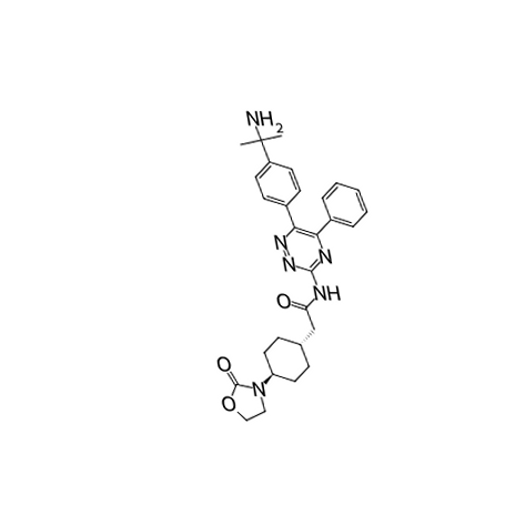 CC(C)(N)c1ccc(-c2nnc(NC(=O)C[C@H]3CC[C@H](N4CCOC4=O)CC3)nc2-c2ccccc2)cc1